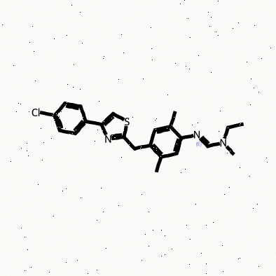 CCN(C)/C=N/c1cc(C)c(Cc2nc(-c3ccc(Cl)cc3)cs2)cc1C